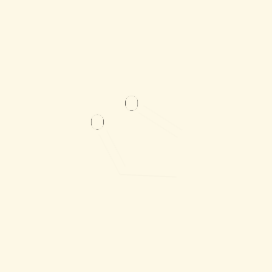 C=O.CC=O